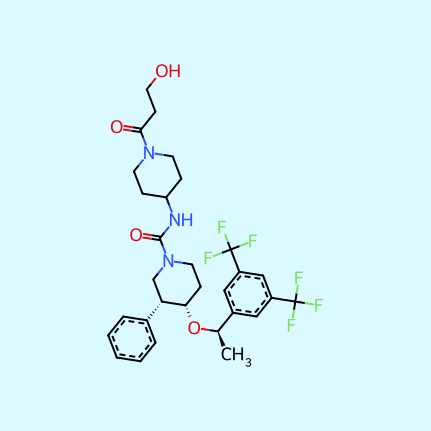 C[C@@H](O[C@H]1CCN(C(=O)NC2CCN(C(=O)CCO)CC2)C[C@H]1c1ccccc1)c1cc(C(F)(F)F)cc(C(F)(F)F)c1